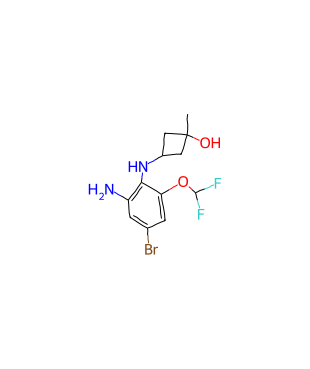 CC1(O)CC(Nc2c(N)cc(Br)cc2OC(F)F)C1